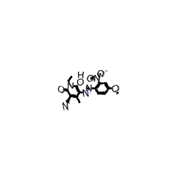 CCn1c(O)c(/N=N/c2ccc(OC)cc2[N+](=O)[O-])c(C)c(C#N)c1=O